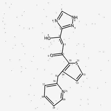 O=C(C=C(O)c1nc[nH]n1)c1sccc1Cc1ccccn1